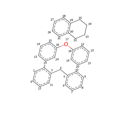 c1ccc(Cc2ccccc2)cc1.c1ccc(Oc2ccccc2)cc1.c1ccc2c(c1)CCCC2